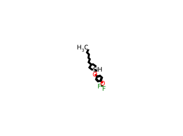 CCCCCCCC1CC[SiH](COc2ccc(OC(F)F)cc2)CC1